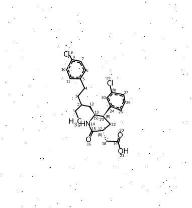 CCC(CCc1ccc(Cl)cc1)C[C@@H]1NC(=O)[C@@H](CC(=O)O)C[C@@H]1c1cccc(Cl)c1